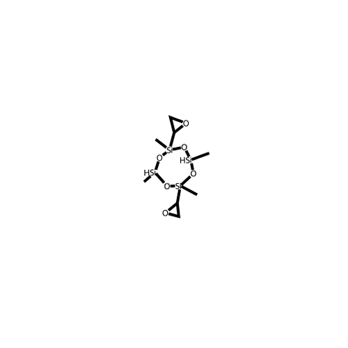 C[SiH]1O[Si](C)(C2CO2)O[SiH](C)O[Si](C)(C2CO2)O1